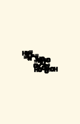 O=C(O)CC(O)(C(=O)O)C(NCCc1c[nH]cn1)C(=O)O